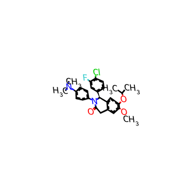 COc1cc2c(cc1OC(C)C)[C@H](c1ccc(Cl)c(F)c1)N(c1ccc(N(C)C)cc1)C(=O)C2